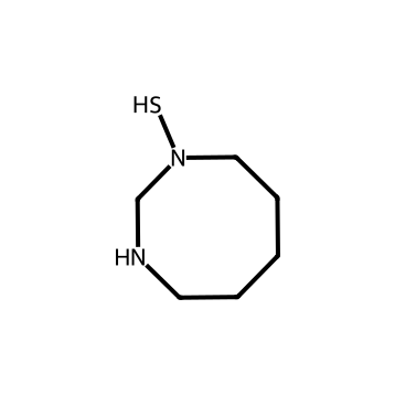 SN1CCCCCNC1